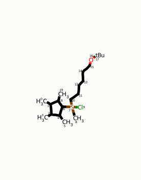 CC1C(C)C(C)C(S(C)(Cl)CCCCCCOC(C)(C)C)C1C